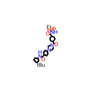 CCS(=O)(=O)NC(=O)C1CCC(C(=O)N2CCN(c3ccc(C(=O)Nc4cccc(C(C)(C)C)c4)cc3)CC2)CC1